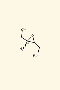 CCC1O[C@@]1(C)CO